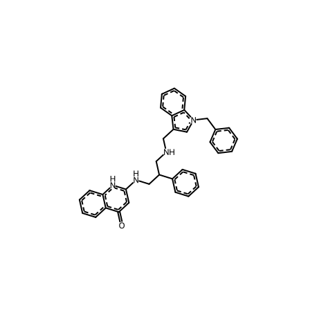 O=c1cc(NCC(CNCc2cn(Cc3ccccc3)c3ccccc23)c2ccccc2)[nH]c2ccccc12